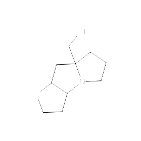 CCC12CCCN1C1CCSC1C2